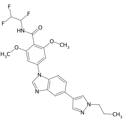 CCCn1cc(-c2ccc3c(c2)ncn3-c2cc(OC)c(C(=O)NC(F)C(F)F)c(OC)c2)cn1